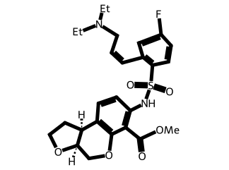 CCN(CC)C/C=C\c1cc(F)ccc1S(=O)(=O)Nc1ccc2c(c1C(=O)OC)OC[C@H]1OCC[C@@H]21